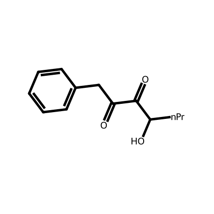 CCCC(O)C(=O)C(=O)Cc1ccccc1